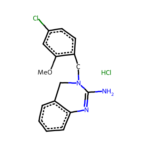 COc1cc(Cl)ccc1CN1Cc2ccccc2N=C1N.Cl